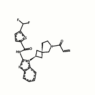 C=CC(=O)N1CC[C@]2(C1)C[C@H](n1c(NC(=O)c3ccc(C(F)F)s3)nc3ccccc31)C2